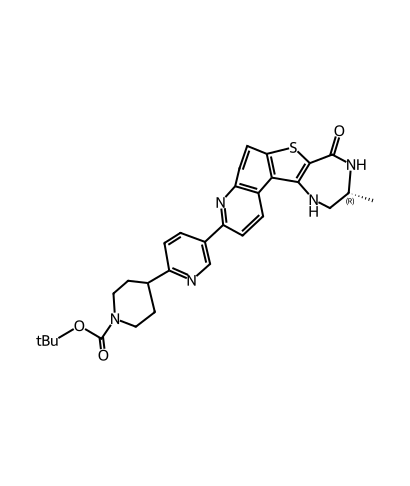 C[C@@H]1CNc2c(sc3ccc4nc(-c5ccc(C6CCN(C(=O)OC(C)(C)C)CC6)nc5)ccc4c23)C(=O)N1